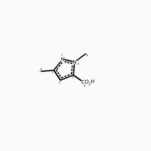 [CH2]c1cc(C(=O)O)n(C)n1